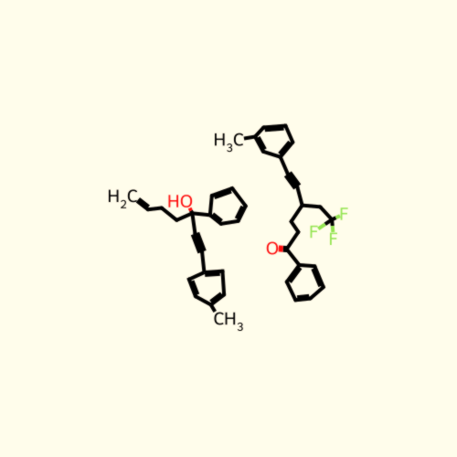 C=CCCC(O)(C#Cc1ccc(C)cc1)c1ccccc1.Cc1cccc(C#CC(CCC(=O)c2ccccc2)CC(F)(F)F)c1